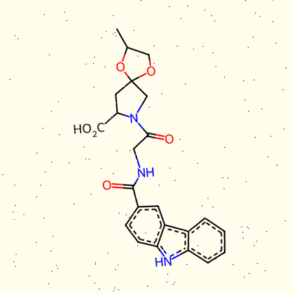 CC1COC2(CC(C(=O)O)N(C(=O)CNC(=O)c3ccc4[nH]c5ccccc5c4c3)C2)O1